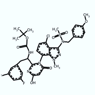 COc1ccc(CN(c2nn(C)c3c(-n4c(C(Cc5cc(F)cc(F)c5)NC(=O)OC(C)(C)C)nc(O)cc4=O)ccc(Cl)c23)S(C)(=O)=O)cc1